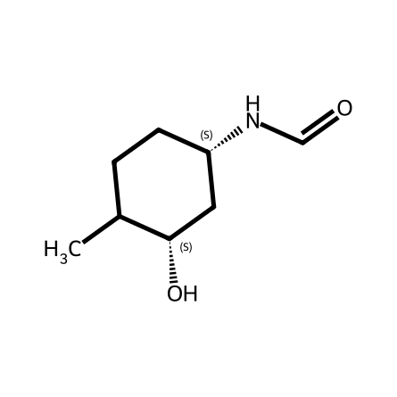 CC1CC[C@H](NC=O)C[C@@H]1O